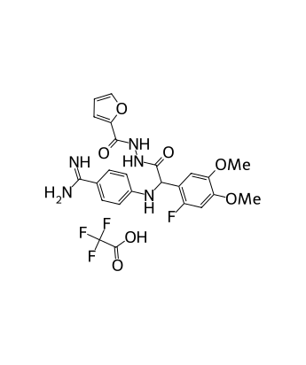 COc1cc(F)c(C(Nc2ccc(C(=N)N)cc2)C(=O)NNC(=O)c2ccco2)cc1OC.O=C(O)C(F)(F)F